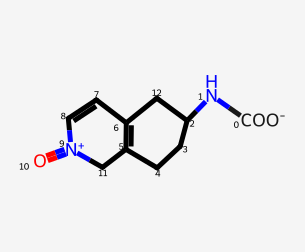 O=C([O-])NC1CCC2=C(C=C[N+](=O)C2)C1